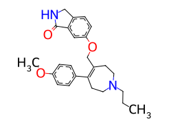 CCCN1CCC(COc2ccc3c(c2)C(=O)NC3)=C(c2ccc(OC)cc2)CC1